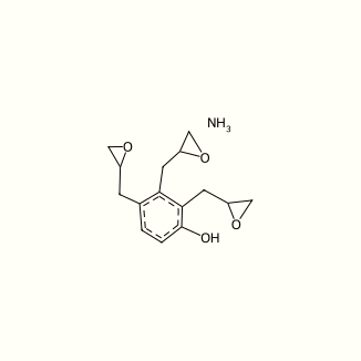 N.Oc1ccc(CC2CO2)c(CC2CO2)c1CC1CO1